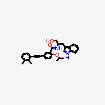 Cc1cccc(C#Cc2ccc(OC(C)C)c(C(=O)NC(CO)Cc3c[nH]c4ccccc34)c2)c1C